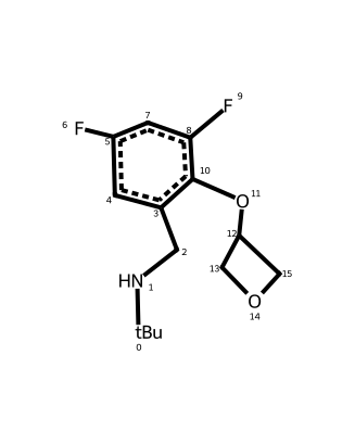 CC(C)(C)NCc1cc(F)cc(F)c1OC1COC1